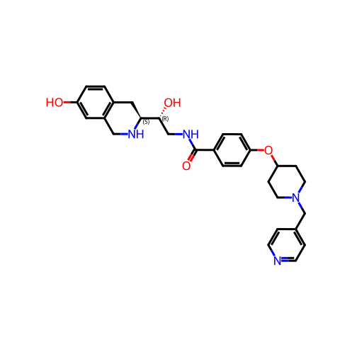 O=C(NC[C@@H](O)[C@@H]1Cc2ccc(O)cc2CN1)c1ccc(OC2CCN(Cc3ccncc3)CC2)cc1